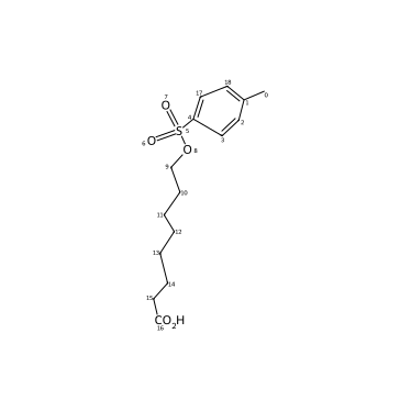 Cc1ccc(S(=O)(=O)OCCCCCCCC(=O)O)cc1